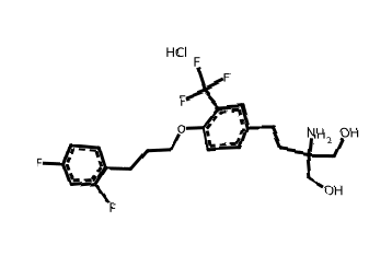 Cl.NC(CO)(CO)CCc1ccc(OCCCc2ccc(F)cc2F)c(C(F)(F)F)c1